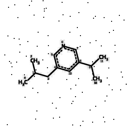 CC(C)Cc1cncc(C(C)C)c1